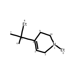 CCN1CC=C(C(C)(C)CC)CC1